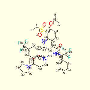 CCS(=O)(=O)c1c(OC(C)C)ccc2c(C(=O)N[C@H](c3ccccc3)C(F)(F)F)c(CN3CCC(N4CCCC4)CC3)c(-c3cccc(C(F)(F)F)c3)nc12